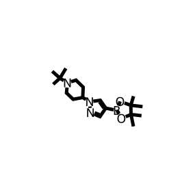 CC(C)(C)N1CCC(n2cc(B3OC(C)(C)C(C)(C)O3)cn2)CC1